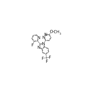 COc1ccc(-n2c(-c3ncccc3F)nc3cc(C(F)(F)F)ccc32)nn1